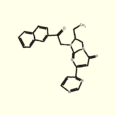 CCC1Cn2c(nc(-c3ccncn3)cc2=O)N1CC(=O)c1ccc2ccccc2c1